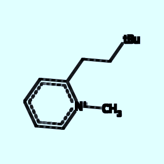 C[n+]1ccccc1CCC(C)(C)C